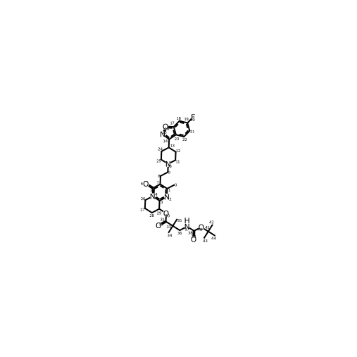 Cc1nc2n(c(=O)c1CCN1CCC(c3noc4cc(F)ccc34)CC1)CCCC2OC(=O)C(C)(C)CNC(=O)OC(C)(C)C